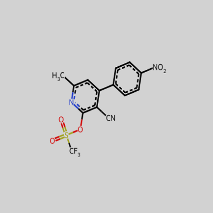 Cc1cc(-c2ccc([N+](=O)[O-])cc2)c(C#N)c(OS(=O)(=O)C(F)(F)F)n1